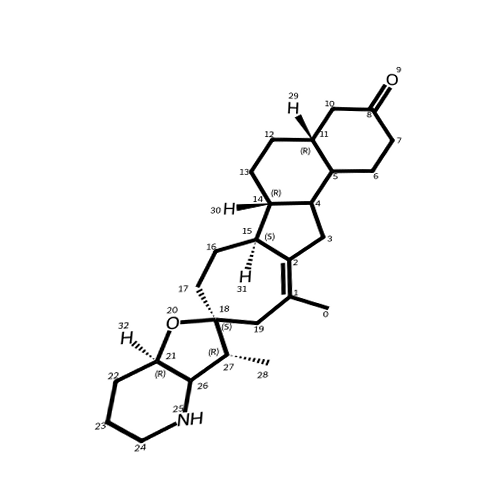 CC1=C2CC3C4CCC(=O)C[C@H]4CC[C@H]3[C@@H]2CC[C@@]2(C1)O[C@@H]1CCCNC1[C@H]2C